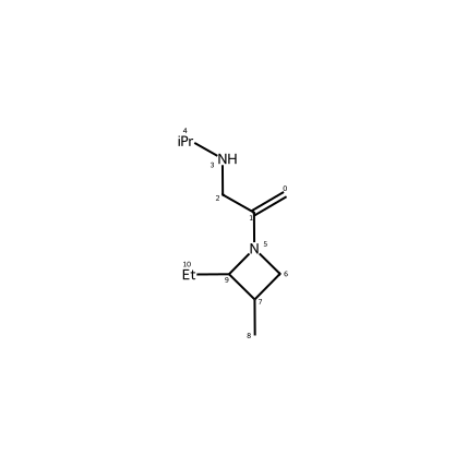 C=C(CNC(C)C)N1CC(C)C1CC